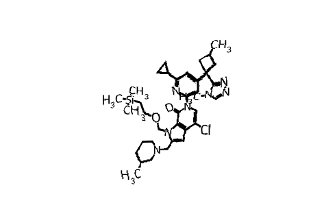 CC1CC(c2cc(C3CC3)nc(-n3cc(Cl)c4cc(CN5CCC[C@H](C)C5)n(COCC[Si](C)(C)C)c4c3=O)c2)(c2nncn2C)C1